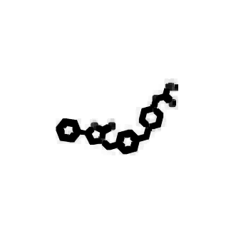 CC(C)(C)C(=O)ON1CCN(Cc2ccc(CN3C[C@@H](c4ccccc4)OC3=O)cc2)CC1